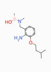 CB(O)N(C)Cc1cccc(OCCC(C)C)c1N